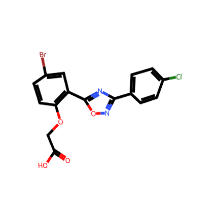 O=C(O)COc1ccc(Br)cc1-c1nc(-c2ccc(Cl)cc2)no1